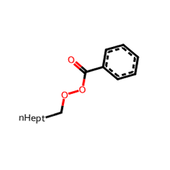 CCCCCCCCOOC(=O)c1ccccc1